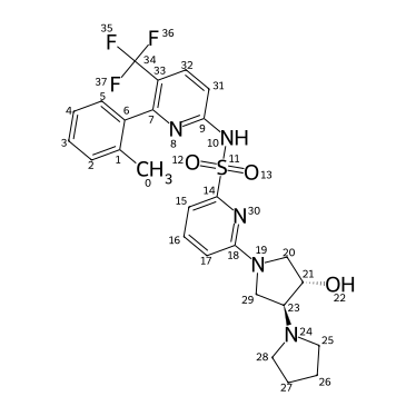 Cc1ccccc1-c1nc(NS(=O)(=O)c2cccc(N3C[C@H](O)[C@@H](N4CCCC4)C3)n2)ccc1C(F)(F)F